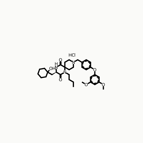 CCCCN1C(=O)[C@@H](CC2(O)CCCCC2)NC(=O)C12CCN(Cc1ccc(Oc3cc(OC)cc(OC)c3)cc1)CC2.Cl